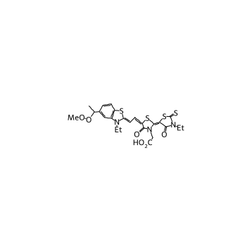 CCN1C(=O)/C(=c2/s/c(=C/C=C3\Sc4ccc(C(C)OOC)cc4N3CC)c(=O)n2CC(=O)O)SC1=S